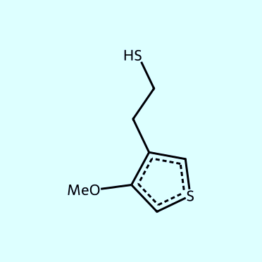 COc1cscc1CCS